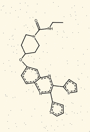 CCNC(=O)N1CCC(Oc2ccc3nc(-c4cccs4)c(-c4cccs4)nc3c2)CC1